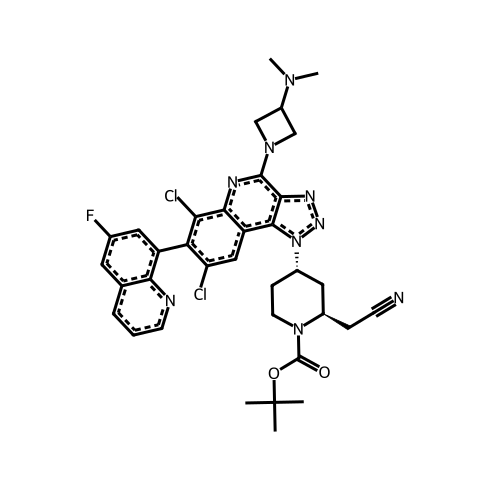 CN(C)C1CN(c2nc3c(Cl)c(-c4cc(F)cc5cccnc45)c(Cl)cc3c3c2nnn3[C@H]2CCN(C(=O)OC(C)(C)C)[C@H](CC#N)C2)C1